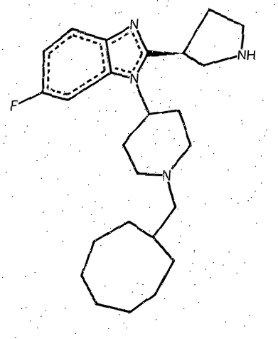 Fc1ccc2nc([C@H]3CCNC3)n(C3CCN(CC4CCCCCCC4)CC3)c2c1